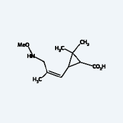 CONCC(C)=CC1C(C(=O)O)C1(C)C